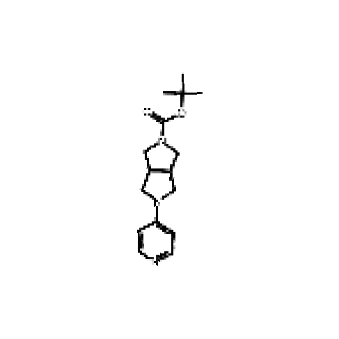 CC(C)(C)OC(=O)N1CC2CN(c3ccncc3)CC2C1